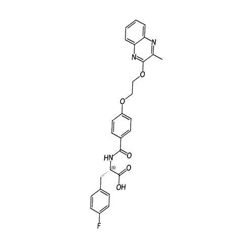 Cc1nc2ccccc2nc1OCCOc1ccc(C(=O)N[C@@H](Cc2ccc(F)cc2)C(=O)O)cc1